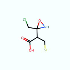 O=C(O)C(CS)C1(CCl)NO1